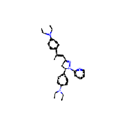 CCN(CC)c1ccc(C(C)=CC2=NN(c3ccccn3)C(c3ccc(N(CC)CC)cc3)C2)cc1